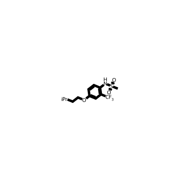 CC(C)CCOc1ccc(NS(C)(=O)=O)c(C(F)(F)F)c1